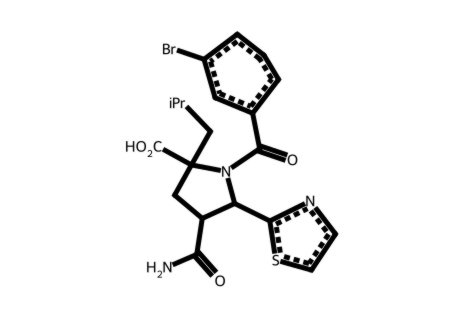 CC(C)CC1(C(=O)O)CC(C(N)=O)C(c2nccs2)N1C(=O)c1cccc(Br)c1